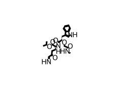 CNC(=O)CO[C@@H](Cc1c[nH]c2ccccc12)C(=O)N[C@@H](CCC(=O)C=N)C(=O)OC(C)C